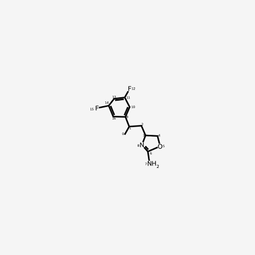 CC(CC1COC(N)=N1)c1cc(F)cc(F)c1